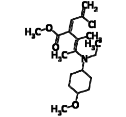 C=C(Cl)/C=C(C(=O)OC)\C(C)=C(/C)N(CC)C1CCC(OC)CC1